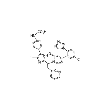 O=C(O)Nc1ccc(-c2[nH]c(C(Cc3cccnc3)n3ccc(-c4cc(Cl)ccc4-n4cnnn4)cc3=O)nc2Cl)cc1